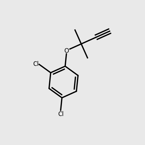 C#CC(C)(C)Oc1ccc(Cl)cc1Cl